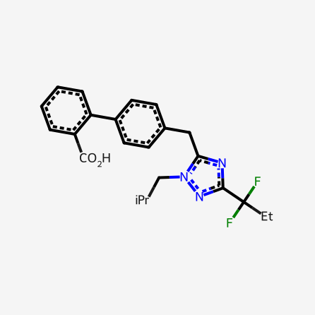 CCC(F)(F)c1nc(Cc2ccc(-c3ccccc3C(=O)O)cc2)n(CC(C)C)n1